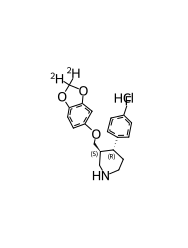 Cl.[2H]C1([2H])Oc2ccc(OC[C@@H]3CNCC[C@H]3c3ccc(F)cc3)cc2O1